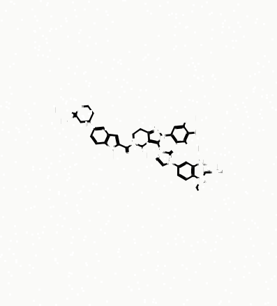 CCP(=O)(CC)c1ccc(-n2ccn(-c3c4c(nn3-c3cc(C)c(F)c(C)c3)CCN(C(=O)c3cc5cc([C@@H]6CCOC(C)(C)C6)ccc5[nH]3)[C@H]4C)c2=O)cc1NC